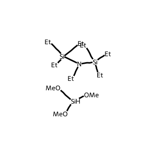 CCN([Si](CC)(CC)CC)[Si](CC)(CC)CC.CO[SiH](OC)OC